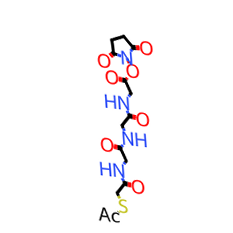 CC(=O)SCC(=O)NCC(=O)NCC(=O)NCC(=O)ON1C(=O)CCC1=O